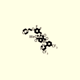 COC(=O)C1(N(C)N(Cc2ccc(OCCN3CCOCC3)c(F)c2F)C(=O)CC(=O)Nc2ccc(C(F)(F)F)cc2-c2cc(C(F)(F)F)ncn2)CCCC1